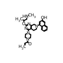 C=CC(=O)N1CCN(c2nc(OC(C)CNC)nc3c2CCN(c2cc(O)cc4ccccc24)C3)CC1